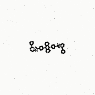 c1ccc(-c2cccc3nc(-c4ccc(-c5c6ccccc6c(-c6ccc(-c7cn8c(-c9ccccc9)cccc8n7)cc6)c6ccccc56)cc4)cn23)cc1